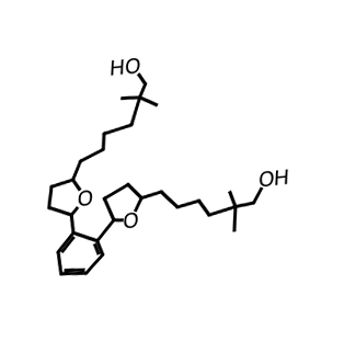 CC(C)(CO)CCCCC1CCC(c2ccccc2C2CCC(CCCCC(C)(C)CO)O2)O1